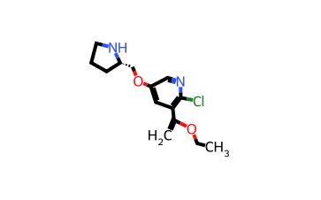 C=C(OCC)c1cc(OC[C@@H]2CCCN2)cnc1Cl